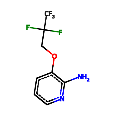 Nc1ncccc1OCC(F)(F)C(F)(F)F